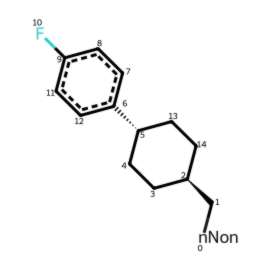 CCCCCCCCCC[C@H]1CC[C@H](c2ccc(F)cc2)CC1